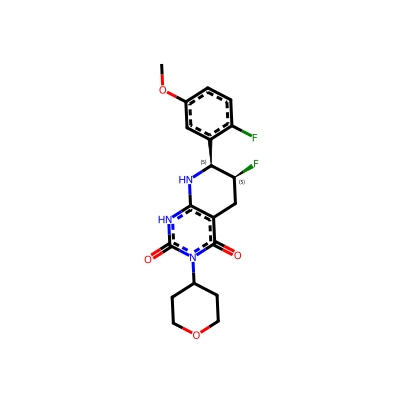 COc1ccc(F)c([C@@H]2Nc3[nH]c(=O)n(C4CCOCC4)c(=O)c3C[C@@H]2F)c1